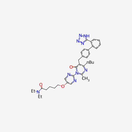 CCCCc1nc(C)n(-c2ncc(OCCCCC(=O)N(CC)CC)cn2)c(=O)c1Cc1ccc(-c2ccccc2-c2nnn[nH]2)cc1